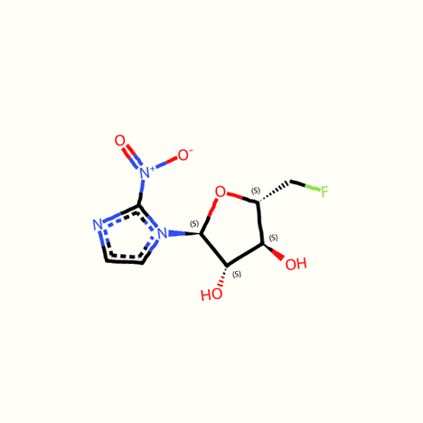 O=[N+]([O-])c1nccn1[C@H]1O[C@H](CF)[C@@H](O)[C@@H]1O